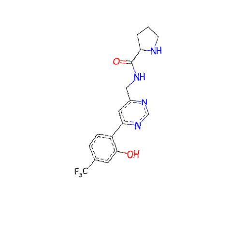 O=C(NCc1cc(-c2ccc(C(F)(F)F)cc2O)ncn1)C1CCCN1